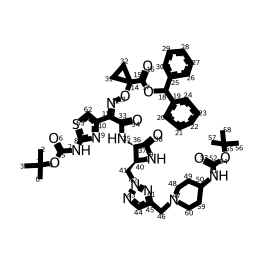 CC(C)(C)OC(=O)Nc1nc(C(=NOC2(C(=O)OC(c3ccccc3)c3ccccc3)CC2)C(=O)N[C@@H]2C(=O)N[C@H]2Cn2ncc(CN3CCC(NC(=O)OC(C)(C)C)CC3)n2)cs1